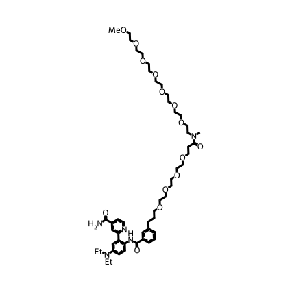 CCN(CC)c1ccc(NC(=O)c2cccc(CCCOCCOCCOCCOCCC(=O)N(C)CCOCCOCCOCCOCCOCCOCCOC)c2)c(-c2cc(C(N)=O)ccn2)c1